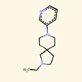 CCN1CCC2(CCN(c3cccnc3)CC2)C1